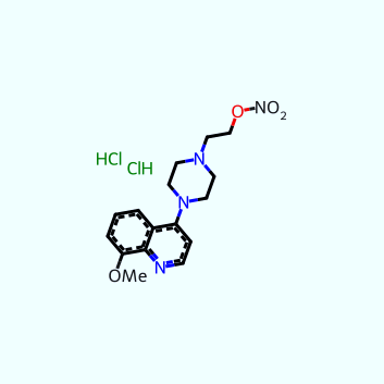 COc1cccc2c(N3CCN(CCO[N+](=O)[O-])CC3)ccnc12.Cl.Cl